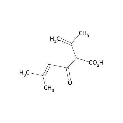 C=C(C)C(C(=O)O)C(=O)C=C(C)C